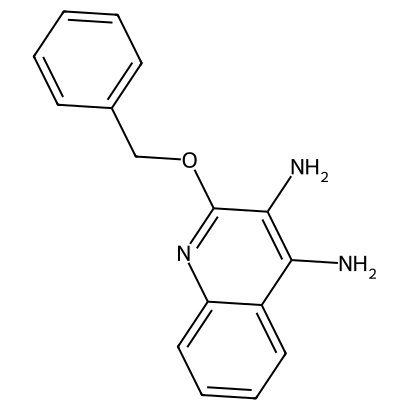 Nc1c(OCc2ccccc2)nc2ccccc2c1N